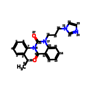 CCc1ccccc1-n1c(=O)c2ccccc2n(CCCn2ccnc2)c1=O